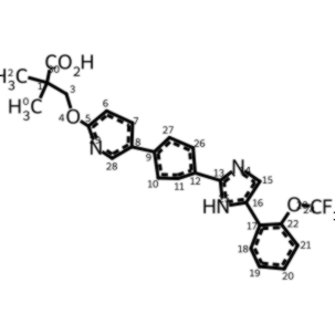 CC(C)(COc1ccc(-c2ccc(-c3ncc(-c4ccccc4OC(F)(F)F)[nH]3)cc2)cn1)C(=O)O